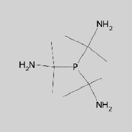 CC(C)(N)P(C(C)(C)N)C(C)(C)N